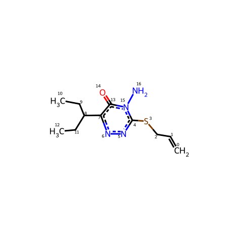 C=CCSc1nnc(C(CC)CC)c(=O)n1N